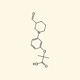 CC(C)(Oc1cccc(N2CCCC(C=O)C2)c1)C(=O)O